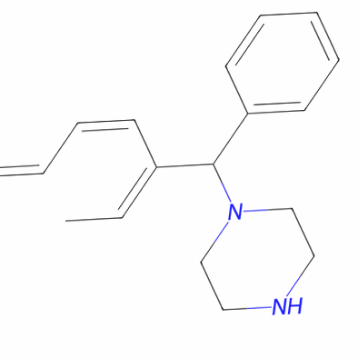 C=C/C=C\C(=C/C)C(c1ccccc1)N1CCNCC1